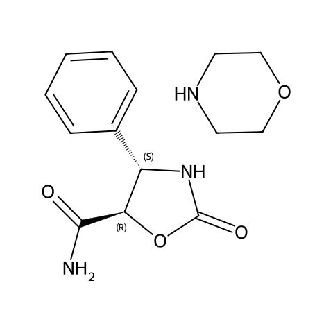 C1COCCN1.NC(=O)[C@@H]1OC(=O)N[C@H]1c1ccccc1